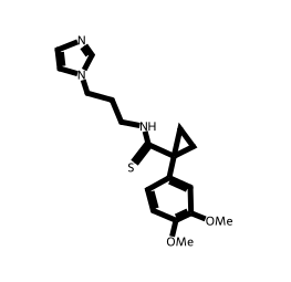 COc1ccc(C2(C(=S)NCCCn3ccnc3)CC2)cc1OC